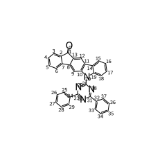 O=C1c2ccccc2-c2cc3c(cc21)c1ccccc1n3-c1nc(-c2ccccc2)nc(-c2ccccc2)n1